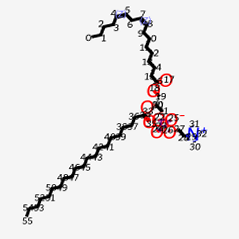 CCCC/C=C\C/C=C\CCCCCCCC(=O)OC[C@H](COP(=O)([O-])OCC[N+](C)(C)C)OC(=O)CCCCCCCCCCCCCCCCCCCC